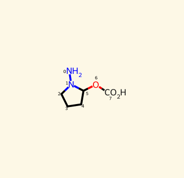 NN1CCCC1OC(=O)O